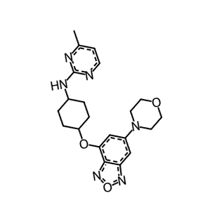 Cc1ccnc(NC2CCC(Oc3cc(N4CCOCC4)cc4nonc34)CC2)n1